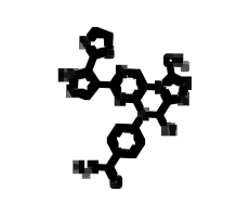 CCC1c2nnc(C)n2-c2cnc(-c3cn[nH]c3-c3nccs3)nc2N1c1ccc(C(N)=O)cc1